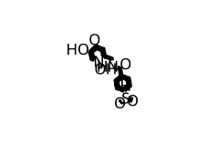 O=C(NCc1cc(=O)c(O)cn1O)c1ccc([SH](=O)=O)cc1